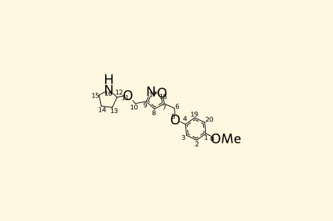 COc1ccc(OCc2cc(COC3CCCN3)no2)cc1